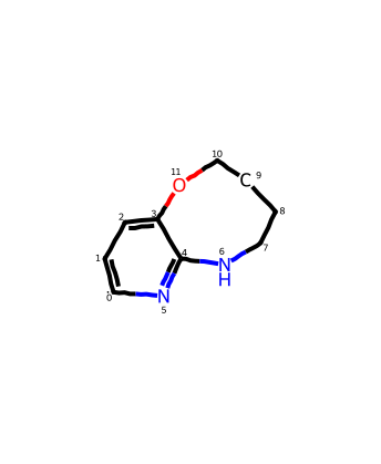 [c]1ccc2c(n1)NCCCCO2